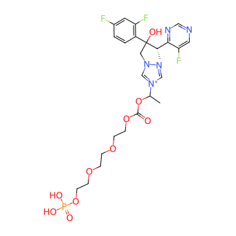 CC(OC(=O)OCCOCCOCCOP(=O)(O)O)[n+]1cnn(CC(O)(c2ccc(F)cc2F)[C@@H](C)c2ncncc2F)c1